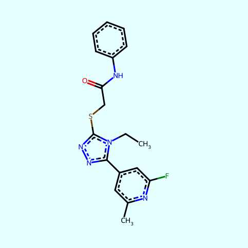 CCn1c(SCC(=O)Nc2ccccc2)nnc1-c1cc(C)nc(F)c1